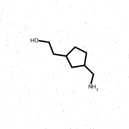 NCC1CCC(CCO)C1